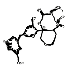 COc1cncc(-c2cc(Cl)c([C@]34COCCC3S(=O)(=O)N(C)C(=N)N4)s2)c1